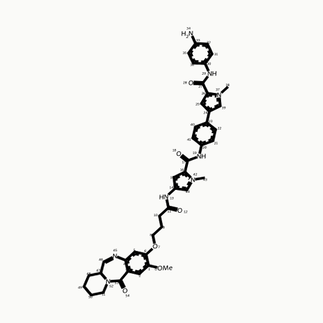 COc1cc2c(cc1OCCCC(=O)Nc1cc(C(=O)Nc3ccc(-c4cc(C(=O)Nc5ccc(N)cc5)n(C)c4)cc3)n(C)c1)N=CC1CCCCN1C2=O